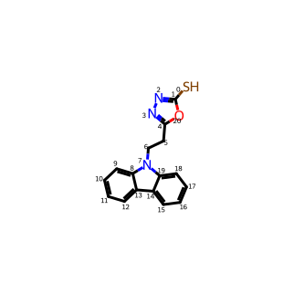 Sc1nnc(CCn2c3ccccc3c3ccccc32)o1